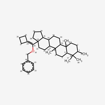 CC1CCC2(C)C(CCC3(C)C4CCC5(C(OCc6ccccc6)=C6CCC6)CCCC5C4CCC32)C1(C)C